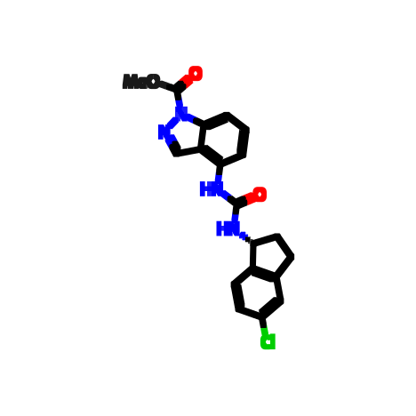 COC(=O)n1ncc2c(NC(=O)N[C@@H]3CCc4cc(Cl)ccc43)cccc21